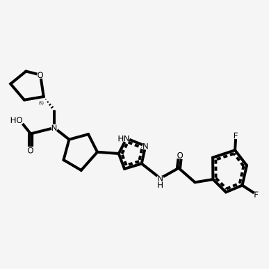 O=C(Cc1cc(F)cc(F)c1)Nc1cc(C2CCC(N(C[C@@H]3CCCO3)C(=O)O)C2)[nH]n1